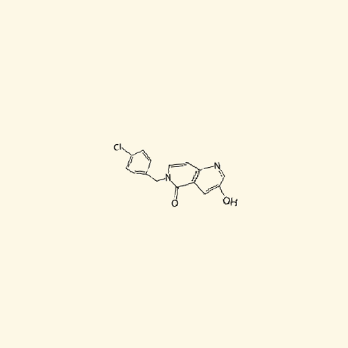 O=c1c2cc(O)cnc2ccn1Cc1ccc(Cl)cc1